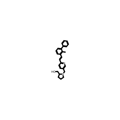 Cc1c(/C=C/c2ccc(CN3CCCC3CO)cn2)cccc1-c1ccccc1